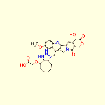 COc1ccc2nc3c(c(CN4NNC5=C4CCCCCC5OCC(=O)O)c2c1)Cn1c-3cc2c(c1=O)COC(=O)[C@H]2O